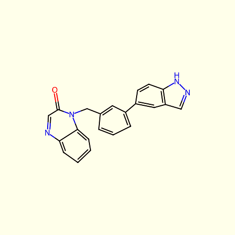 O=c1cnc2ccccc2n1Cc1cccc(-c2ccc3[nH]ncc3c2)c1